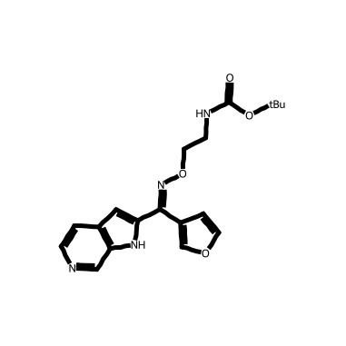 CC(C)(C)OC(=O)NCCON=C(c1ccoc1)c1cc2ccncc2[nH]1